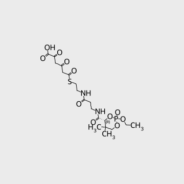 CCOP1(=O)OCC(C)(C)[C@H](C(=O)NCCC(=O)NCCSC(=O)CC(=O)CC(=O)C(=O)O)O1